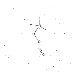 C=COO[Si](C)(C)C